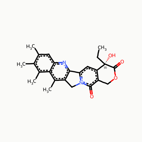 CC[C@@]1(O)C(=O)OCc2c1cc1n(c2=O)Cc2c-1nc1cc(C)c(C)c(C)c1c2C